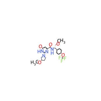 COC[C@@H](NC(=O)c1cc(=O)[nH]c(N2CC[C@@H](OC)C2)n1)c1ccc(OC(F)(F)F)cc1